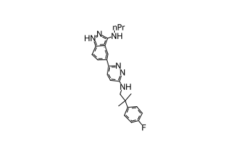 CCCNc1n[nH]c2ccc(-c3ccc(NCC(C)(C)c4ccc(F)cc4)nn3)cc12